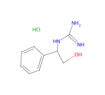 Cl.N=C(N)NC(CO)c1ccccc1